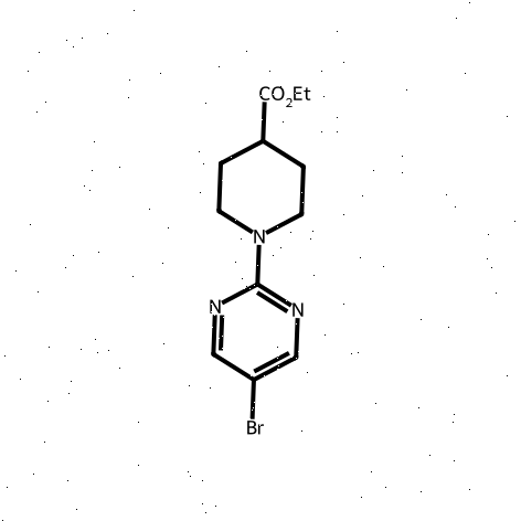 CCOC(=O)C1CCN(c2ncc(Br)cn2)CC1